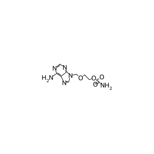 Nc1ncnc2c1ncn2COCCOS(N)(=O)=O